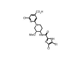 CCc1[nH]c(C(=O)NC2CCN(c3cc(C(=O)O)cc(Cl)n3)C[C@@H]2OC)nc1Cl